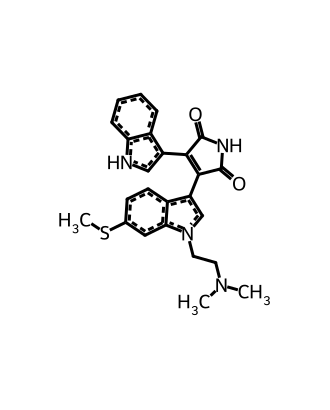 CSc1ccc2c(C3=C(c4c[nH]c5ccccc45)C(=O)NC3=O)cn(CCN(C)C)c2c1